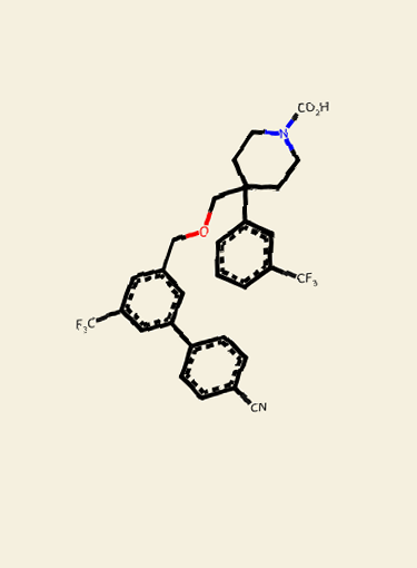 N#Cc1ccc(-c2cc(COCC3(c4cccc(C(F)(F)F)c4)CCN(C(=O)O)CC3)cc(C(F)(F)F)c2)cc1